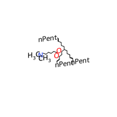 CCCCCC=CCCCC(CCCC=CCCCCC)C(CCC=CCCCCC)OC(=O)CCCCCN(C)C